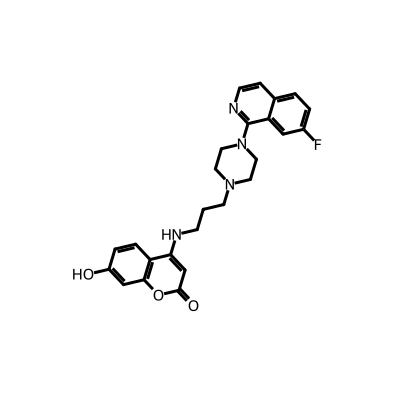 O=c1cc(NCCCN2CCN(c3nccc4ccc(F)cc34)CC2)c2ccc(O)cc2o1